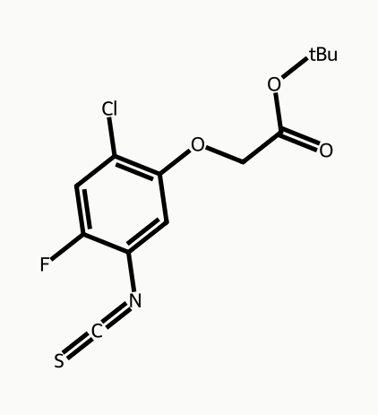 CC(C)(C)OC(=O)COc1cc(N=C=S)c(F)cc1Cl